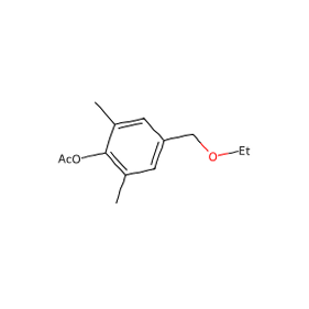 CCOCc1cc(C)c(OC(C)=O)c(C)c1